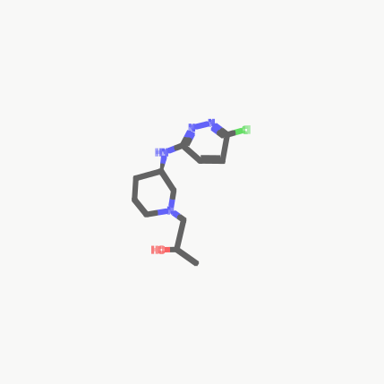 CC(O)CN1CCC[C@@H](Nc2ccc(Cl)nn2)C1